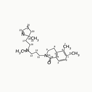 Cc1ccc2c(c1C)CCN(CCCN(C)CCC1(C)CSC=N1)C2=O